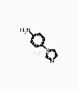 Nc1ccc(-n2ccnc2)cc1.[Lu]